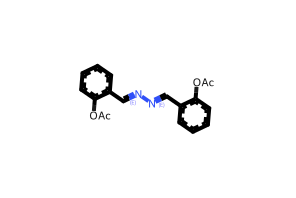 CC(=O)Oc1ccccc1/C=N/N=C/c1ccccc1OC(C)=O